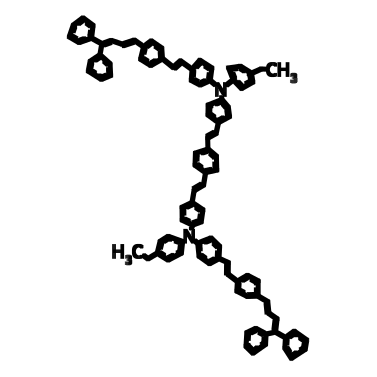 CCc1ccc(N(c2ccc(/C=C/c3ccc(/C=C/C=C(c4ccccc4)c4ccccc4)cc3)cc2)c2ccc(/C=C/c3ccc(/C=C/c4ccc(N(c5ccc(/C=C/c6ccc(/C=C/C=C(c7ccccc7)c7ccccc7)cc6)cc5)c5ccc(CC)cc5)cc4)cc3)cc2)cc1